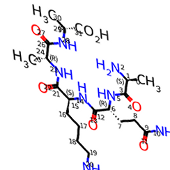 C[C@H](N)C(=O)N[C@H](CCC(N)=O)C(=O)N[C@@H](CCCCN)C(=O)N[C@H](C)C(=O)N[C@H](C)C(=O)O